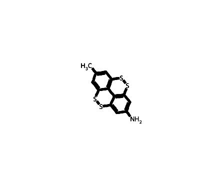 Cc1cc2ssc3cc(N)cc4ssc(c1)c2-c34